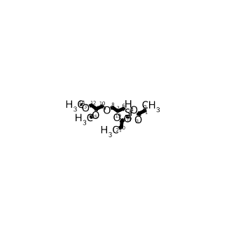 CCC(=O)O[SiH](CCCOCC(COC)OC)OC(=O)CC